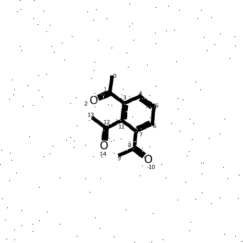 CC(=O)c1c[c]cc(C(C)=O)c1C(C)=O